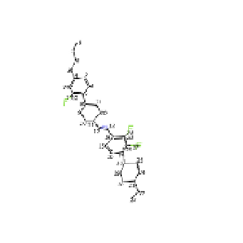 CCCCc1ccc(C2CCC(/C=C/c3ccc(C4CCC(CC)CC4)c(F)c3F)CC2)c(F)c1